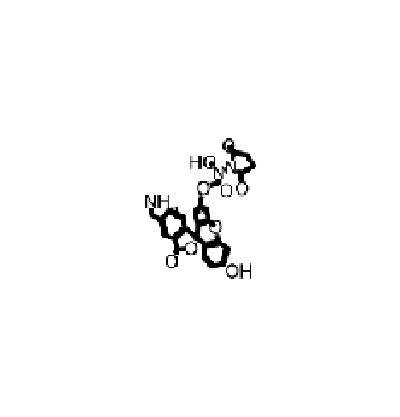 NCc1ccc2c(c1)C(=O)OC21c2ccc(O)cc2Oc2cc(OC(=O)N(O)N3C(=O)CCC3=O)ccc21